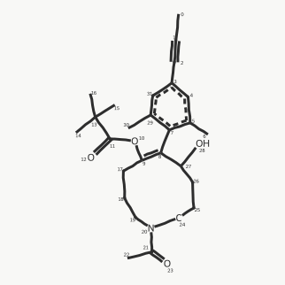 CC#Cc1cc(C)c(/C2=C(\OC(=O)C(C)(C)C)CCCN(C(C)=O)CCCC2O)c(C)c1